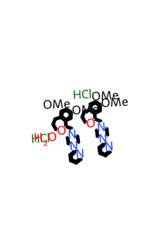 COc1cc2c(cc1OC)C(CN1CCN(c3ccccn3)CC1)OCCC2.COc1cc2c(cc1OC)C(CN1CCN(c3ccccn3)CC1)OCCC2.Cl.Cl.O